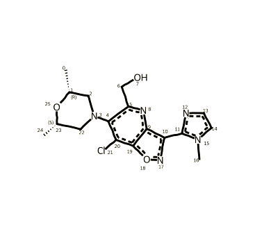 C[C@@H]1CN(c2c(CO)nc3c(-c4nccn4C)noc3c2Cl)C[C@H](C)O1